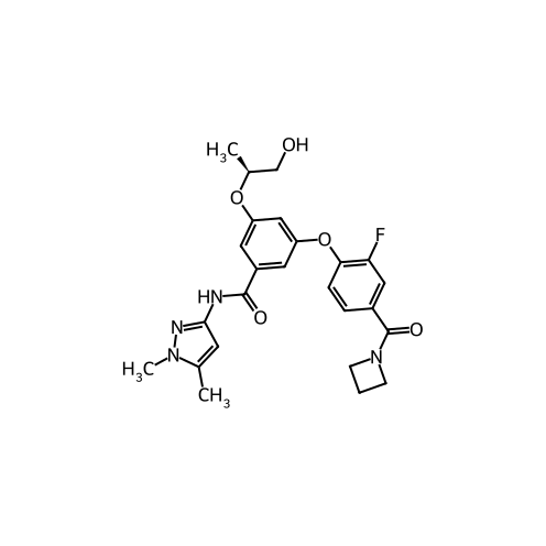 Cc1cc(NC(=O)c2cc(Oc3ccc(C(=O)N4CCC4)cc3F)cc(O[C@@H](C)CO)c2)nn1C